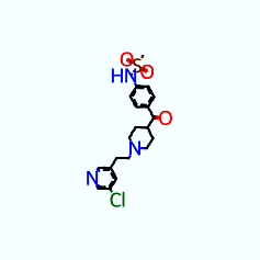 CS(=O)(=O)Nc1ccc(C(=O)C2CCN(CCc3cncc(Cl)c3)CC2)cc1